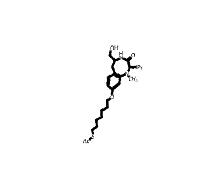 CC(=O)SCCCCCCCOc1ccc2c(c1)N(C)C(C(C)C)C(=O)NC(CO)C2